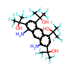 Nc1c(C(O)(C(F)(F)F)C(F)(F)F)cc(C(O)(C(F)(F)F)C(F)(F)F)c2cc3c(C(O)(C(F)(F)F)C(F)(F)F)cc(C(O)(C(F)(F)F)C(F)(F)F)c(N)c3cc12